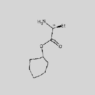 CC[C@H](N)C(=O)OC1CCCCC1